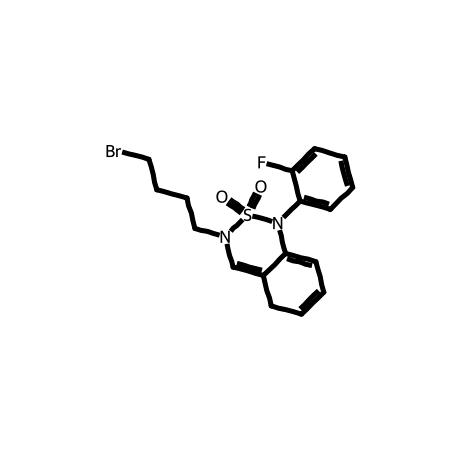 O=S1(=O)N(CCCCBr)C=C2CC=CC=C2N1c1ccccc1F